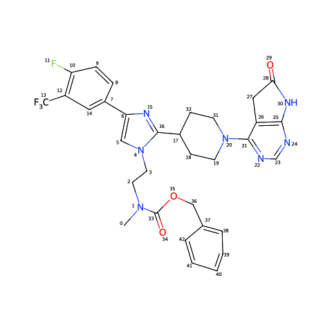 CN(CCn1cc(-c2ccc(F)c(C(F)(F)F)c2)nc1C1CCN(c2ncnc3c2CC(=O)N3)CC1)C(=O)OCc1ccccc1